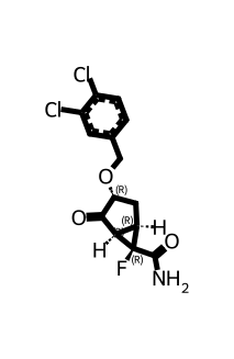 NC(=O)[C@@]1(F)[C@@H]2C[C@@H](OCc3ccc(Cl)c(Cl)c3)C(=O)[C@@H]21